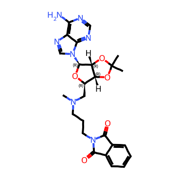 CN(CCCN1C(=O)c2ccccc2C1=O)C[C@H]1O[C@@H](n2cnc3c(N)ncnc32)[C@@H]2OC(C)(C)O[C@@H]21